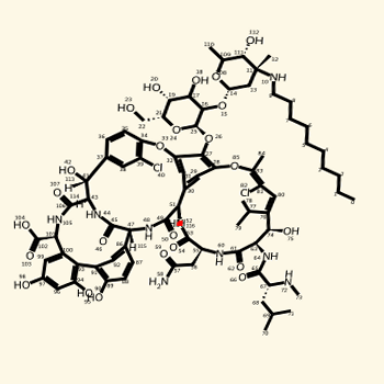 CCCCCCCCCCN[C@]1(C)C[C@H](OC2C(O)[C@@H](O)[C@@H](CO)O[C@@H]2Oc2c3cc4cc2Oc2ccc(cc2Cl)[C@@H](O)[C@@H]2NC(=O)[C@H](NC(=O)[C@@H]4NC(=O)[C@H](CC(N)=O)NC(=O)[C@H](NC(=O)[C@@H](CC(C)C)NC)[C@H](O)/C(C(C)C)=C/C(Cl)=C(\C)O3)c3ccc(O)c(c3)-c3c(O)cc(O)cc3[C@@H](C(=O)O)NC2=O)OC(C)[C@@H]1O